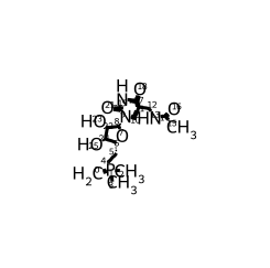 C=P(C)(C)CC[C@H]1O[C@@H](n2cc(CNC(C)=O)c(=O)[nH]c2=O)[C@H](O)[C@@H]1O